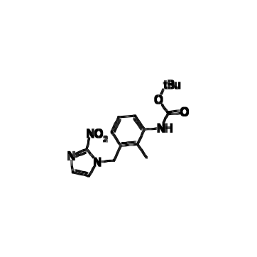 Cc1c(Cn2ccnc2[N+](=O)[O-])cccc1NC(=O)OC(C)(C)C